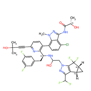 C[C@H](O)C(=O)Nc1nn(C)c2c(-c3ccc(C#CC(C)(C)O)nc3[C@H](Cc3cc(F)cc(F)c3)NC(O)Cn3nc(C(F)F)c4c3C(F)(F)[C@@H]3C[C@H]43)ccc(Cl)c12